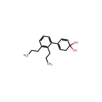 CCCc1cccc(C2=CCC(O)(O)C=C2)c1CCC